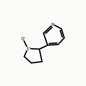 [O-][S+]1CCCC1c1cccnc1